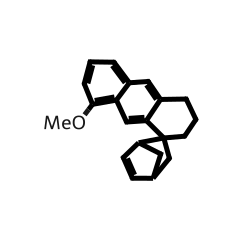 COc1cccc2cc3c(cc12)C1(CCC3)CC2C=CC1C2